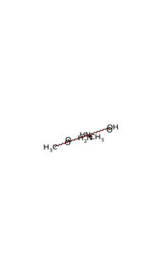 CCCCCCCCOC(=O)CCCCCCCCCCCNC(CCCCCCCCCCCC(=O)O)C(C)N